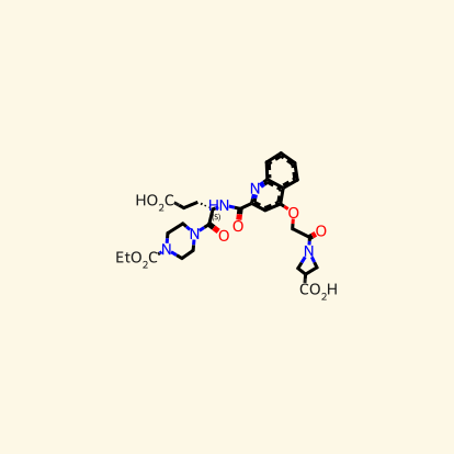 CCOC(=O)N1CCN(C(=O)[C@H](CCC(=O)O)NC(=O)c2cc(OCC(=O)N3CC(C(=O)O)C3)c3ccccc3n2)CC1